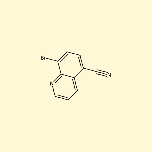 N#Cc1ccc(Br)c2ncccc12